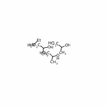 CC(O)C(=O)O.CC(O)C(=O)O.CC(O)C(=O)O.CC[SiH3]